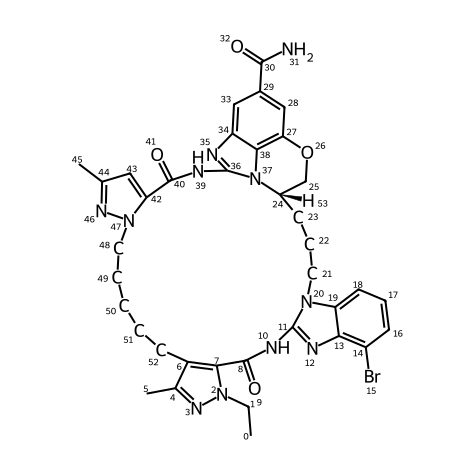 CCn1nc(C)c2c1C(=O)Nc1nc3c(Br)cccc3n1CCC[C@H]1COc3cc(C(N)=O)cc4nc(n1c34)NC(=O)c1cc(C)nn1CCCCC2